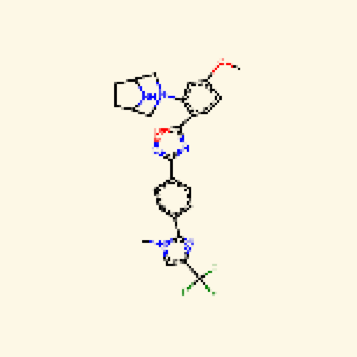 COc1ccc(-c2nc(-c3ccc(-c4nc(C(F)(F)F)cn4C)cc3)no2)c(N2CC3CCC(C2)N3)c1